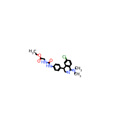 CCOC(=O)CNC(=O)Nc1ccc(C2CN=C(N(C)C)c3ccc(Cl)cc32)cc1